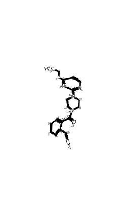 CCOc1ccnc(N2CCN(C(=O)c3ccccc3C=O)CC2)n1